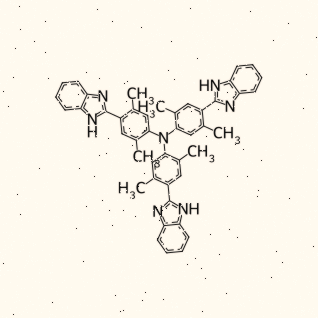 Cc1cc(N(c2cc(C)c(-c3nc4ccccc4[nH]3)cc2C)c2cc(C)c(-c3nc4ccccc4[nH]3)cc2C)c(C)cc1-c1nc2ccccc2[nH]1